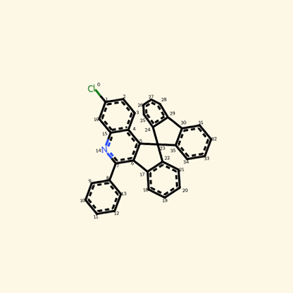 Clc1ccc2c3c(c(-c4ccccc4)nc2c1)-c1ccccc1C31c2ccccc2-c2ccccc21